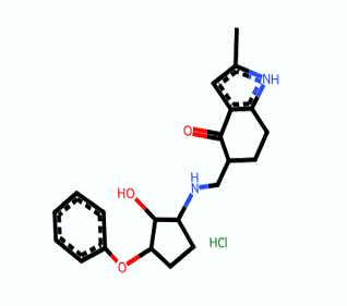 Cc1cc2c([nH]1)CCC(CNC1CCC(Oc3ccccc3)C1O)C2=O.Cl